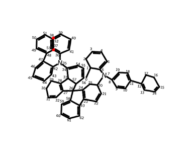 CC1CC=CC=C1N(c1ccc(C2=CC=CCC2)cc1)C1C=CC2=C(C1)C1(C3=C(CCC=C3)C3C(N(c4ccccc4)c4ccccc4-c4ccccc4)=CC=CC31)c1ccccc12